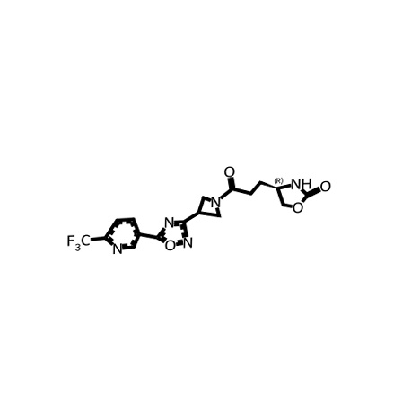 O=C1N[C@H](CCC(=O)N2CC(c3noc(-c4ccc(C(F)(F)F)nc4)n3)C2)CO1